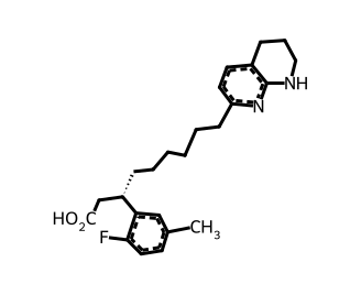 Cc1ccc(F)c([C@@H](CCCCCCc2ccc3c(n2)NCCC3)CC(=O)O)c1